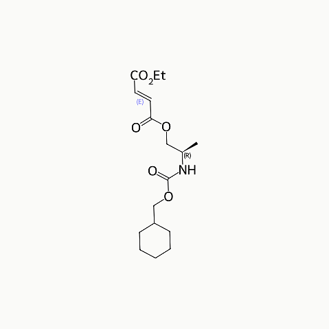 CCOC(=O)/C=C/C(=O)OC[C@@H](C)NC(=O)OCC1CCCCC1